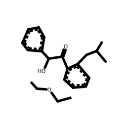 CC(C)Cc1ccccc1C(=O)C(O)c1ccccc1.CCOCC